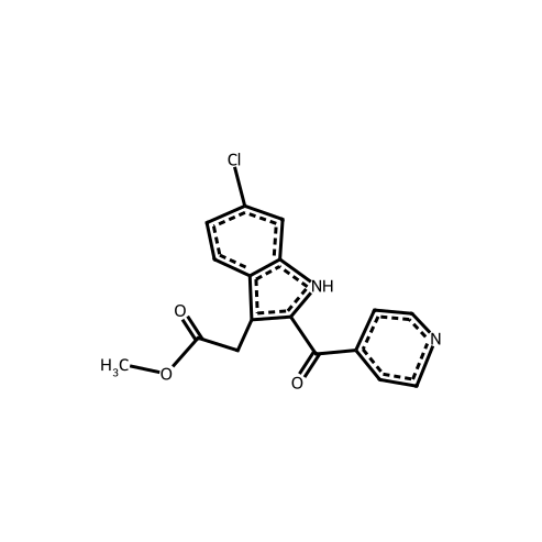 COC(=O)Cc1c(C(=O)c2ccncc2)[nH]c2cc(Cl)ccc12